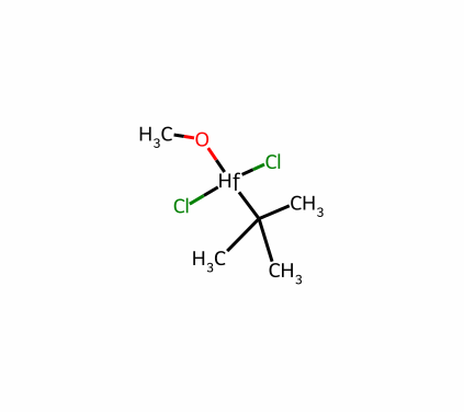 C[O][Hf]([Cl])([Cl])[C](C)(C)C